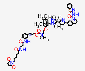 Cc1c(-c2ccc(-c3ccc4c(c3)N(C(=O)Nc3nc5ccccc5s3)CCC4)nc2C(=O)O)cnn1CC12CC3(C)CC(C)(C1)CC(OCCN(C)C(=O)OC/C=C/c1cc[c]c(NC(=O)CCNC(=O)CCCCCN4C(=O)C=CC4=O)c1)(C3)C2